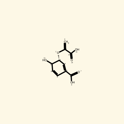 C=C(O[C@@H]1C=C(C(=O)O)C=CC1O)C(=O)O